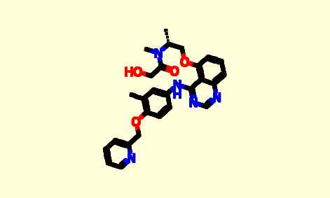 Cc1cc(Nc2ncnc3cccc(OC[C@@H](C)N(C)C(=O)CO)c23)ccc1OCc1ccccn1